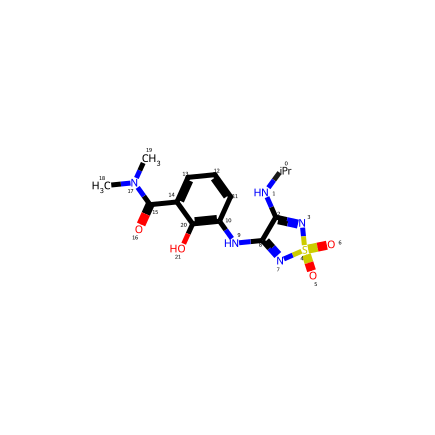 CC(C)NC1=NS(=O)(=O)N=C1Nc1cccc(C(=O)N(C)C)c1O